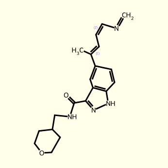 C=N/C=C\C=C(/C)c1ccc2[nH]nc(C(=O)NCC3CCOCC3)c2c1